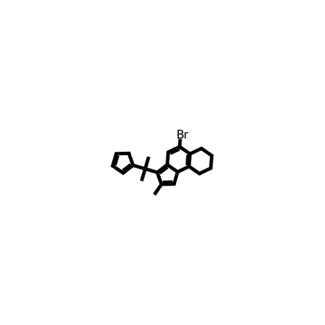 CC1=CC2C(=C1C(C)(C)C1=CC=CC1)C=C(Br)C1=C2CCCC1